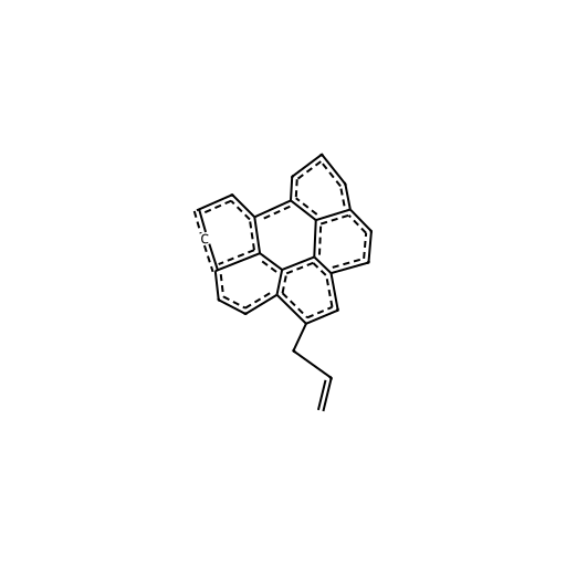 C=CCc1cc2ccc3cccc4c5cccc6ccc1c(c65)c2c34